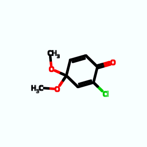 COC1(OC)C=CC(=O)C(Cl)=C1